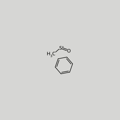 C[S+]=O.c1ccccc1